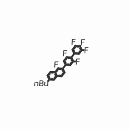 CCCCc1ccc2c(F)c(-c3cc(F)c(-c4cc(F)c(F)c(F)c4)c(F)c3)ccc2c1